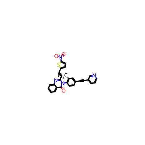 Cc1cc(C#Cc2cccnc2)ccc1-n1c(C=Cc2ccc([N+](=O)[O-])s2)nc2ccccc2c1=O